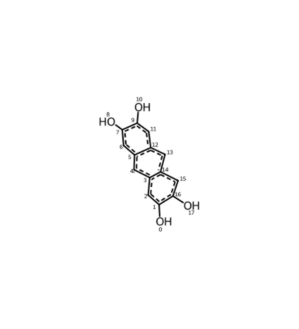 Oc1cc2[c]c3cc(O)c(O)cc3cc2cc1O